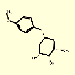 COc1ccc(S[C@H]2C[C@@H](O)[C@@H](O)[C@@H](C)O2)cc1